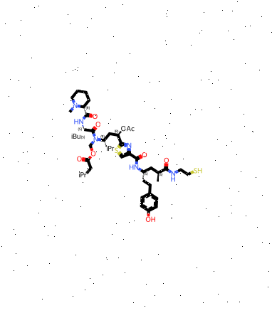 CC[C@H](C)[C@H](NC(=O)[C@H]1CCCCN1C)C(=O)N(COC(=O)CC(C)C)[C@H](C[C@@H](OC(C)=O)c1nc(C(=O)N[C@@H](CCc2ccc(O)cc2)C[C@H](C)C(=O)NCCS)cs1)C(C)C